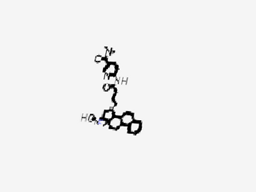 CN(C)C(=O)c1ccc(NC(=O)CCC[C@@H]2C/C(=N\O)[C@@]3(C)CCC4c5ccccc5CCC4C23)nc1